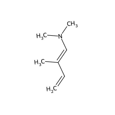 C=C/C(C)=C/N(C)C